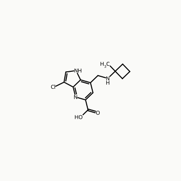 CC1(NCc2cc(C(=O)O)nc3c(Cl)c[nH]c23)CCC1